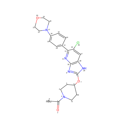 CCCCC(=O)N1CCC(Oc2nc3nc(-c4ccc(N5CCOCC5)cc4)c(Cl)cc3[nH]2)CC1